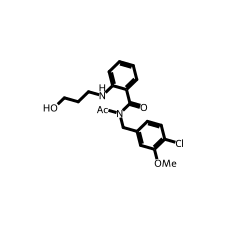 COc1cc(CN(C(C)=O)C(=O)c2ccccc2NCCCO)ccc1Cl